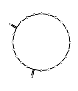 O=C1CCCCCCCCCCCCCCCCC(=O)OCCCCO1